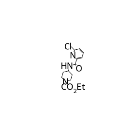 CCOC(=O)N1CCC(NC(=O)c2cccc(Cl)n2)CC1